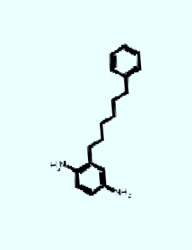 Nc1ccc(N)c(CCCCCCc2ccccc2)c1